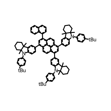 CC(C)(C)c1ccc(N2c3ccc(-c4cc(-c5ccc6c(c5)C5(C)CCCCC5(C)N6c5ccc(C(C)(C)C)cc5)c5ccc6c(-c7cccc8ccccc78)cc(-c7ccc8c(c7)C7(C)CCCCC7(C)N8c7ccc(C(C)(C)C)cc7)c7ccc4c5c76)cc3C3(C)CCCCC23C)cc1